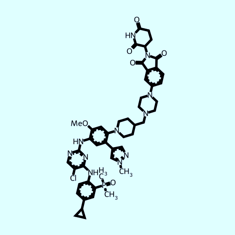 COc1cc(N2CCC(CN3CCN(c4ccc5c(c4)C(=O)N(C4CCC(=O)NC4=O)C5=O)CC3)CC2)c(-c2cnn(C)c2)cc1Nc1ncc(Cl)c(Nc2ccc(C3CC3)cc2P(C)(C)=O)n1